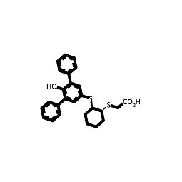 O=C(O)CS[C@@H]1CCCC[C@H]1Sc1cc(-c2ccccc2)c(O)c(-c2ccccc2)c1